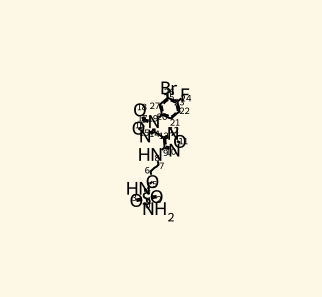 NS(=O)(=O)NOCCNc1nonc1-c1noc(=O)n1-c1ccc(F)c(Br)c1